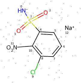 [NH-]S(=O)(=O)c1cccc(Cl)c1[N+](=O)[O-].[Na+]